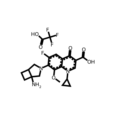 COc1c(N2CC3CCC3(N)C2)c(F)cc2c(=O)c(C(=O)O)cn(C3CC3)c12.O=C(O)C(F)(F)F